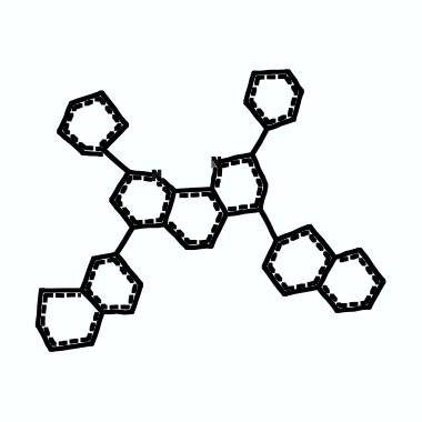 c1ccc(-c2cc(-c3ccc4ccccc4c3)c3ccc4c(-c5ccc6ccccc6c5)cc(-c5ccccc5)nc4c3n2)cc1